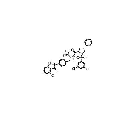 O=C(Nc1ccc(C[C@H](NC(=O)C2C[C@H](c3ccccc3)CN2S(=O)(=O)c2cc(Cl)cc(Cl)c2)C(=O)O)cc1)c1c(Cl)cncc1Cl